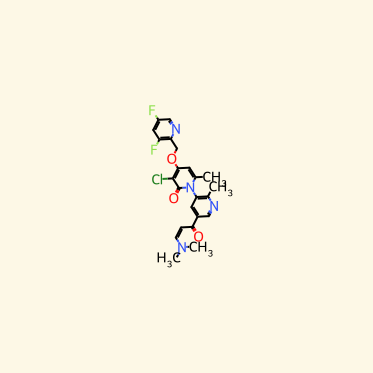 Cc1ncc(C(=O)/C=C\N(C)C)cc1-n1c(C)cc(OCc2ncc(F)cc2F)c(Cl)c1=O